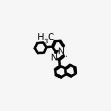 Cc1ccn2[c]c(-c3cccc4ccccc34)nc2c1C1CCCCC1